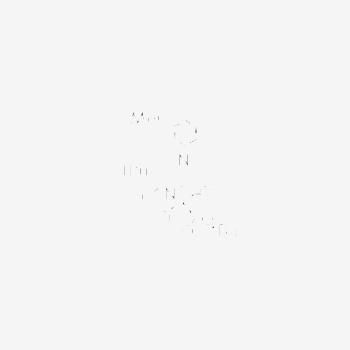 COc1cccc(N2CCC3(CC2)C(=O)N(C(=O)OC(C)(C)C)C(=O)N3C(=O)OC(C)(C)C)c1